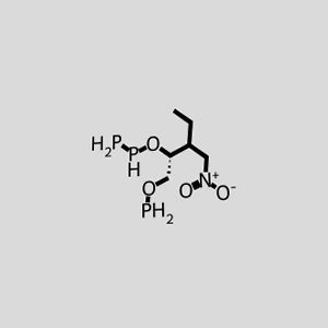 CCC(C[N+](=O)[O-])[C@H](COP)OPP